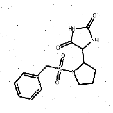 O=C1NC(=O)C(C2CCCN2S(=O)(=O)Cc2ccccc2)N1